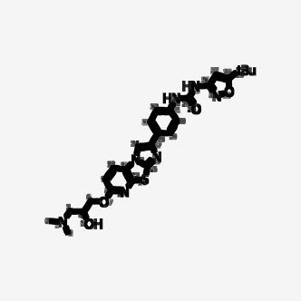 CN(C)CC(O)COc1ccc2c(n1)sc1nc(-c3ccc(NC(=O)Nc4cc(C(C)(C)C)on4)cc3)cn12